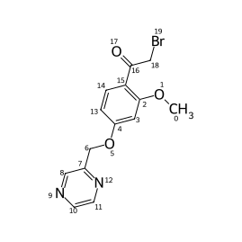 COc1cc(OCc2cnccn2)ccc1C(=O)CBr